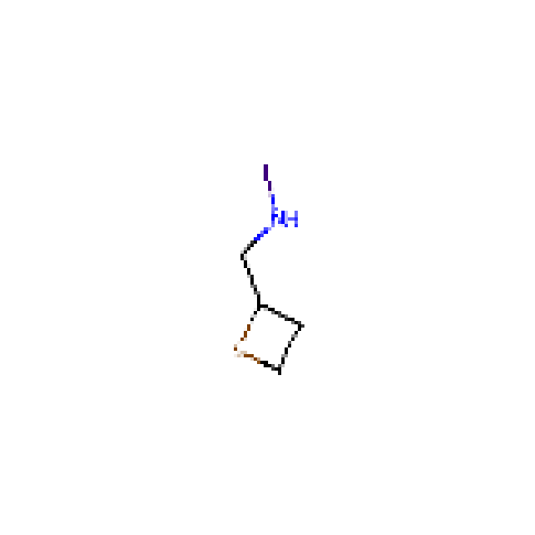 INCC1CCS1